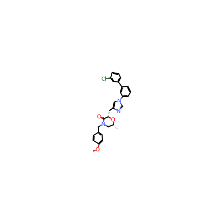 COc1ccc(CN2C[C@@H](C)O[C@@H](Cc3cn(-c4cccc(-c5cccc(Cl)c5)c4)cn3)C2=O)cc1